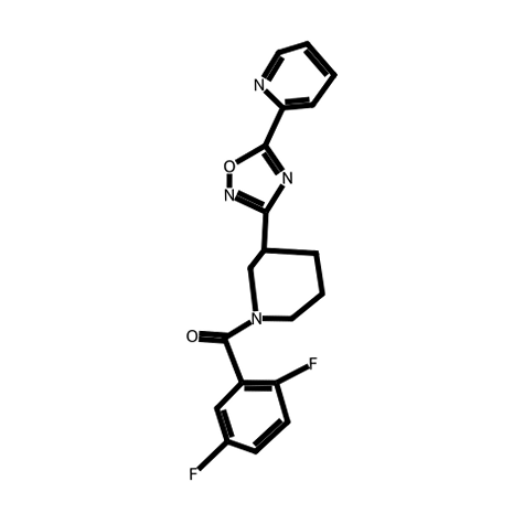 O=C(c1cc(F)ccc1F)N1CCCC(c2noc(-c3ccccn3)n2)C1